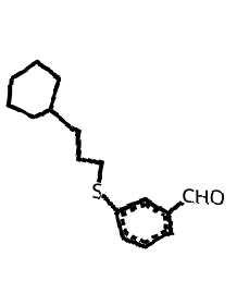 O=Cc1cccc(SCCCC2CCCCC2)c1